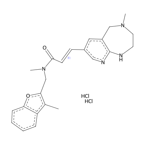 Cc1c(CN(C)C(=O)/C=C/c2cnc3c(c2)CN(C)CCN3)oc2ccccc12.Cl.Cl